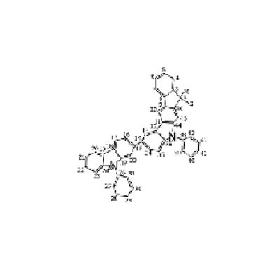 CC1(C)c2ccccc2-c2cc3c4cc(-c5ccc6c7ccccc7n(-c7ccccc7)c6c5)ccc4n(-c4ccccc4)c3cc21